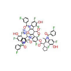 CC1=C(C(C(=O)[O-])c2c(C)n(C(=O)c3cccc(F)c3)c3cc(F)c(O)c(F)c23)c2c(cc(F)c(OC(=O)C(c3c(C)n(C(=O)c4cccc(F)c4)c4cc(F)c(O)c(F)c34)C3CCCC3)c2F)[N+]1(C(=O)c1cccc(F)c1)C(C(N)=O)c1c(C)n(C(=O)c2cccc(F)c2)c2cc(F)c(O)c(F)c12